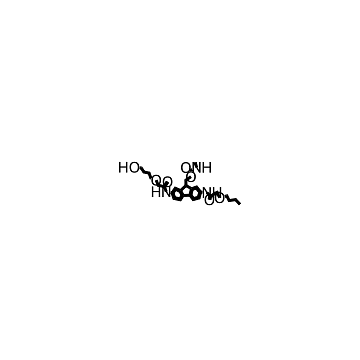 CCCCOCC(=O)Nc1ccc2c(c1)C(COC(=O)NC)c1cc(NC(=O)COCCCCO)ccc1-2